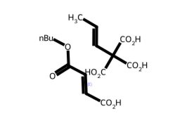 CC=CC(C(=O)O)(C(=O)O)C(=O)O.CCCCOC(=O)/C=C/C(=O)O